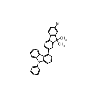 CC1(C)c2cc(Br)ccc2-c2ccc(-c3cccc4c3c3ccccc3n4-c3ccccc3)cc21